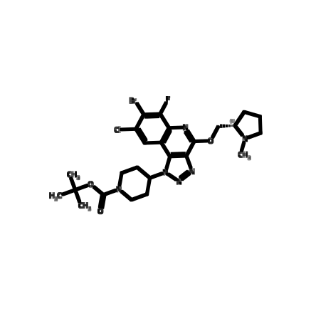 CN1CCC[C@H]1COc1nc2c(F)c(Br)c(Cl)cc2c2c1nnn2C1CCN(C(=O)OC(C)(C)C)CC1